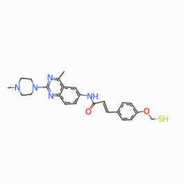 Cc1nc(N2CCN(C)CC2)nc2ccc(NC(=O)C=Cc3ccc(OCS)cc3)cc12